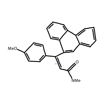 CNC(=O)/C=C(/c1ccc(OC)cc1)c1cc2ccccc2c2ccccc12